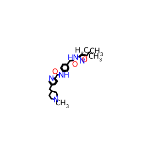 CN1CCC(Cc2ccc(C(=O)Nc3ccc(CC(=O)Nc4cc(C(C)(C)C)on4)cc3)nc2)CC1